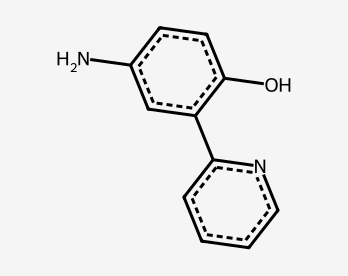 Nc1ccc(O)c(-c2ccccn2)c1